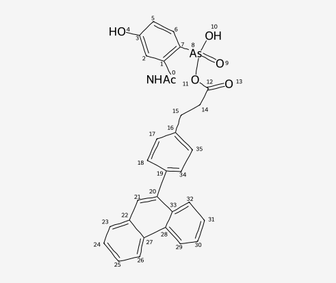 CC(=O)Nc1cc(O)ccc1[As](=O)(O)OC(=O)CCc1ccc(-c2cc3ccccc3c3ccccc23)cc1